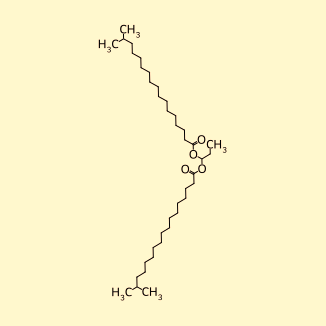 CCC(OC(=O)CCCCCCCCCCCCCCC(C)C)OC(=O)CCCCCCCCCCCCCCC(C)C